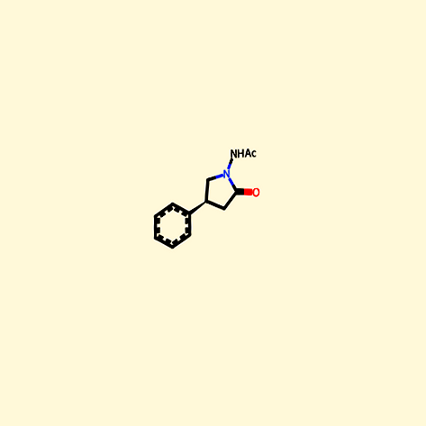 CC(=O)NN1C[C@H](c2ccccc2)CC1=O